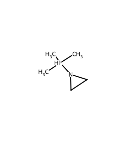 C[PH](C)(C)N1CC1